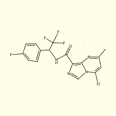 Cc1cc(Cl)n2cnc(C(=O)NC(c3ccc(F)cc3)C(F)(F)F)c2n1